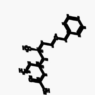 C[C@H](CCOCc1ccccc1)C[C@H](CN)CC(=O)O